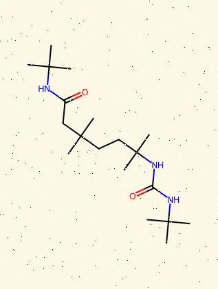 CC(C)(CCC(C)(C)NC(=O)NC(C)(C)C)CC(=O)NC(C)(C)C